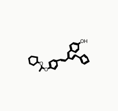 CC(Oc1ccc(C=CC(C=Cc2ccccc2)=Cc2ccc(O)cc2)cc1)OC1CCCCC1